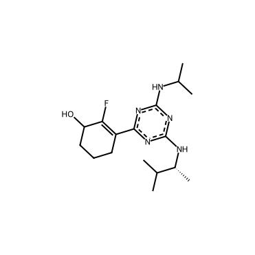 CC(C)Nc1nc(N[C@H](C)C(C)C)nc(C2=C(F)C(O)CCC2)n1